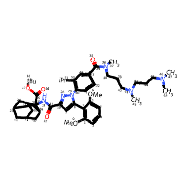 COc1cccc(OC)c1-c1cc(C(=O)NC2(C(=O)OC(C)(C)C)C3CC4CC(C3)CC2C4)nn1-c1ccc(C(=O)N(C)CCCN(C)CCCN(C)C)cc1C(C)C